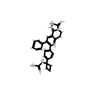 O=C(O)NC1(c2ccc(-c3nc4c(cc3-c3ccccc3)-c3n[nH]c(=O)n3CC4)cc2)CCC1